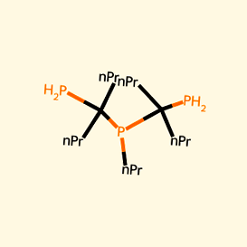 CCCP(C(P)(CCC)CCC)C(P)(CCC)CCC